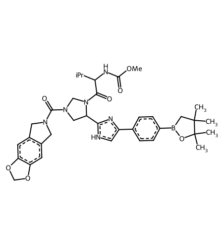 COC(=O)NC(C(=O)N1CN(C(=O)N2Cc3cc4c(cc3C2)OCO4)CC1c1nc(-c2ccc(B3CC(C)(C)C(C)(C)O3)cc2)c[nH]1)C(C)C